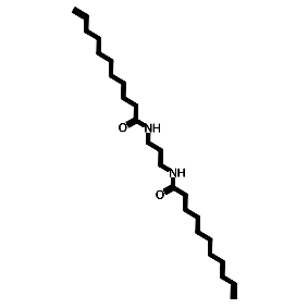 C=CCCCCCCCCC(=O)NCCCNC(=O)CCCCCCCCC=C